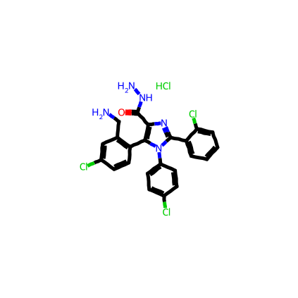 Cl.NCc1cc(Cl)ccc1-c1c(C(=O)NN)nc(-c2ccccc2Cl)n1-c1ccc(Cl)cc1